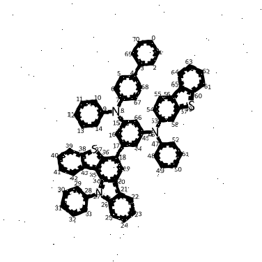 c1ccc(-c2ccc(N(c3ccccc3)c3cc(-c4cc5c6ccccc6n(-c6ccccc6)c5c5c4sc4ccccc45)cc(N(c4ccccc4)c4ccc5c(c4)sc4ccccc45)c3)cc2)cc1